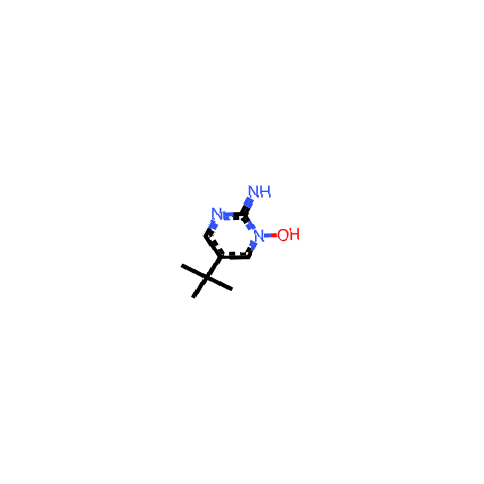 CC(C)(C)c1cnc(=N)n(O)c1